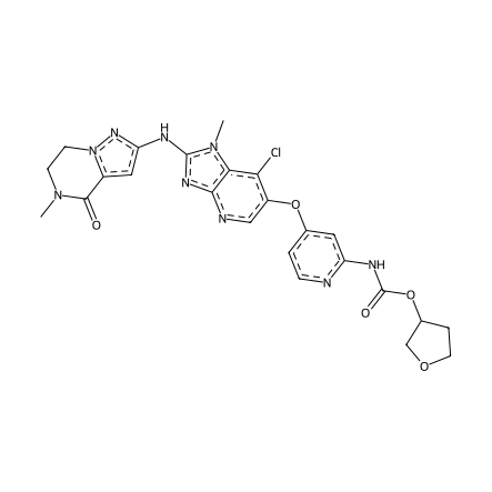 CN1CCn2nc(Nc3nc4ncc(Oc5ccnc(NC(=O)OC6CCOC6)c5)c(Cl)c4n3C)cc2C1=O